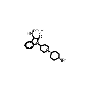 CC(C)[C@H]1CC[C@@H](N2CCC(N3C(=O)C(NC(=O)O)c4ccccc43)CC2)CC1